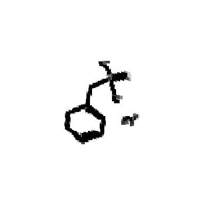 O=P([O-])([O-])Cc1ccccc1.[Mg+2]